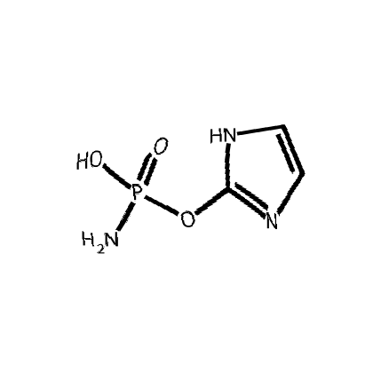 NP(=O)(O)Oc1ncc[nH]1